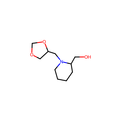 OCC1CCCCN1CC1COCO1